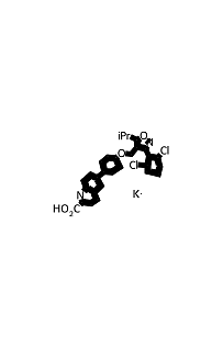 CC(C)c1onc(-c2c(Cl)cccc2Cl)c1COc1ccc(-c2ccc3nc(C(=O)O)ccc3c2)cc1.[K]